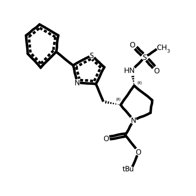 CC(C)(C)OC(=O)N1CC[C@@H](NS(C)(=O)=O)[C@H]1Cc1csc(-c2ccccc2)n1